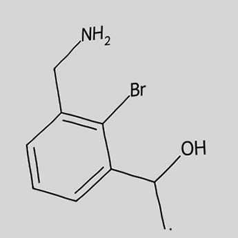 [CH2]C(O)c1cccc(CN)c1Br